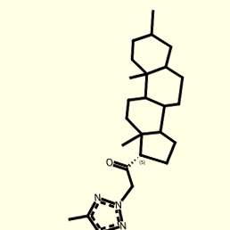 Cc1cnn(CC(=O)[C@H]2CCC3C4CCC5CC(C)CCC5(C)C4CCC32C)n1